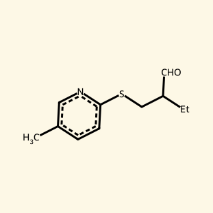 CCC(C=O)CSc1ccc(C)cn1